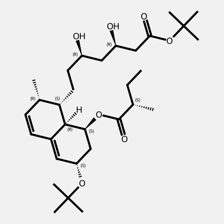 CC[C@H](C)C(=O)O[C@H]1C[C@H](OC(C)(C)C)C=C2C=C[C@H](C)[C@H](CC[C@@H](O)C[C@@H](O)CC(=O)OC(C)(C)C)[C@H]21